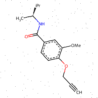 C#CCOc1ccc(C(=O)N[C@@H](C)C(C)C)cc1OC